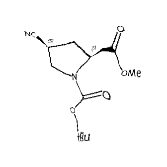 COC(=O)[C@@H]1C[C@H](C#N)CN1C(=O)OC(C)(C)C